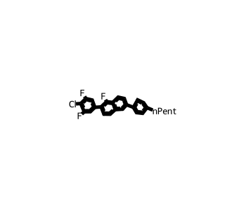 CCCCCc1ccc(-c2ccc3c(F)c(-c4cc(F)c(Cl)c(F)c4)ccc3c2)cc1